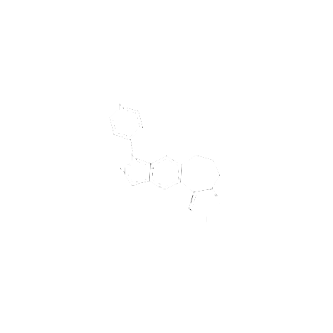 CC=C1C(=O)CCCc2cc3c(cnn3-c3ccncc3)cc21